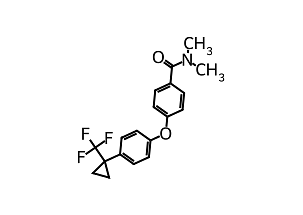 CN(C)C(=O)c1ccc(Oc2ccc(C3(C(F)(F)F)CC3)cc2)cc1